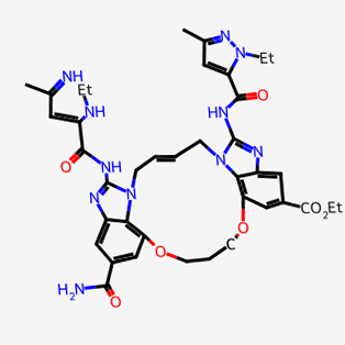 CCN/C(=C\C(C)=N)C(=O)Nc1nc2cc(C(N)=O)cc3c2n1C/C=C/Cn1c(NC(=O)c2cc(C)nn2CC)nc2cc(C(=O)OCC)cc(c21)OCCCO3